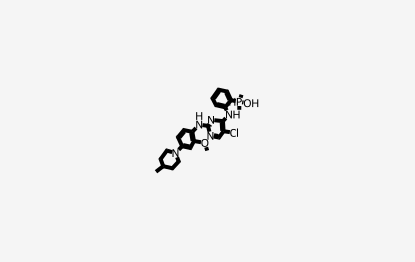 COc1cc(N2CCC(C)CC2)ccc1Nc1ncc(Cl)c(Nc2ccccc2[PH](C)(C)O)n1